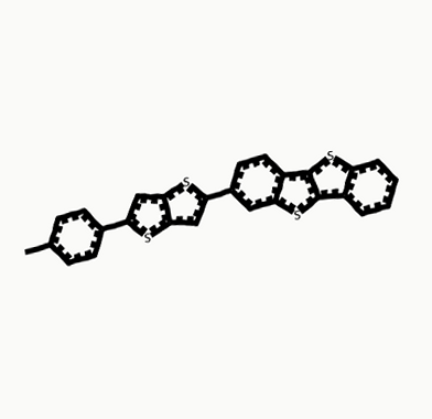 Cc1ccc(-c2cc3sc(-c4ccc5c(c4)sc4c6ccccc6sc54)cc3s2)cc1